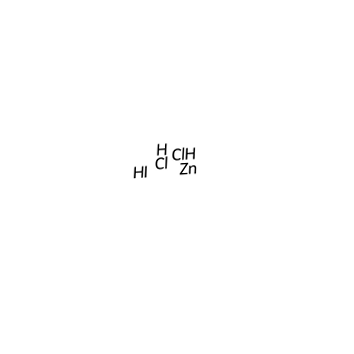 Cl.Cl.I.[Zn]